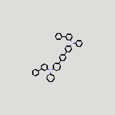 C1=CC=C(N(C2=CC=C(c3ccc(-c4ccc(N(c5ccccc5)c5cccc(-c6ccccc6)c5)cc4)cc3)C=CC2)c2cccc(-c3ccccc3)c2)CC=C1